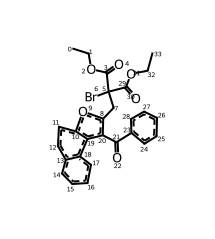 CCOC(=O)C(Br)(Cc1oc2ccc3ccccc3c2c1C(=O)c1ccccc1)C(=O)OCC